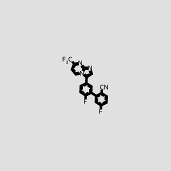 N#Cc1ccc(F)cc1-c1cc(-c2cnc3nc(C(F)(F)F)ccn23)ccc1F